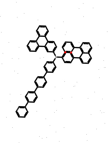 c1ccc(-c2ccc(-c3ccc(-c4ccc(N(c5ccc(-c6cccc7cccc(-c8ccccc8)c67)cc5)c5ccc6c7ccccc7c7ccccc7c6c5)cc4)cc3)cc2)cc1